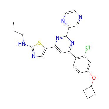 CCCNc1ncc(-c2cc(-c3ccc(OC4CCC4)cc3Cl)nc(-c3cnccn3)n2)s1